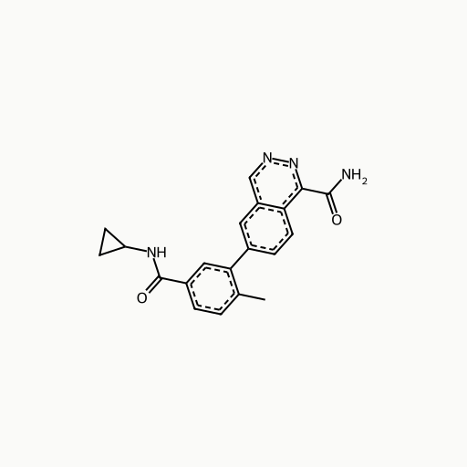 Cc1ccc(C(=O)NC2CC2)cc1-c1ccc2c(C(N)=O)nncc2c1